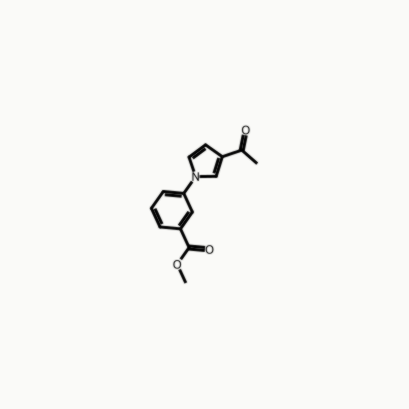 COC(=O)c1cccc(-n2ccc(C(C)=O)c2)c1